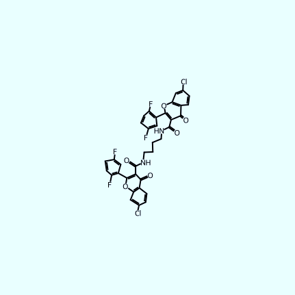 O=C(NCCCCNC(=O)c1c(-c2cc(F)ccc2F)oc2cc(Cl)ccc2c1=O)c1c(-c2cc(F)ccc2F)oc2cc(Cl)ccc2c1=O